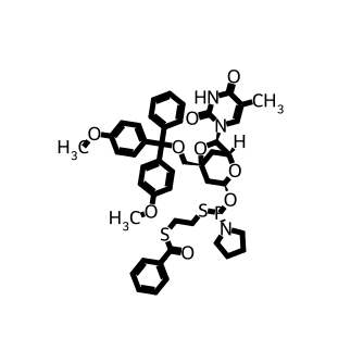 COc1ccc(C(OC[C@]23C[C@@H](OP(SCCSC(=O)c4ccccc4)N4CCCC4)O[C@H](C2)[C@H](n2cc(C)c(=O)[nH]c2=O)O3)(c2ccccc2)c2ccc(OC)cc2)cc1